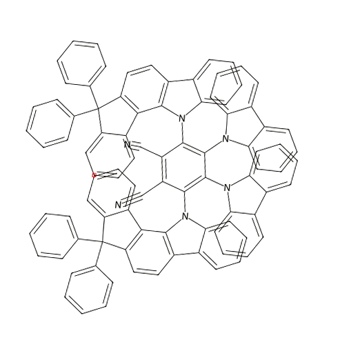 N#Cc1c(C#N)c(-n2c3ccccc3c3ccc4c(c32)-c2ccccc2C4(c2ccccc2)c2ccccc2)c(-n2c3ccccc3c3ccccc32)c(-n2c3ccccc3c3ccccc32)c1-n1c2ccccc2c2ccc3c(c21)-c1ccccc1C3(c1ccccc1)c1ccccc1